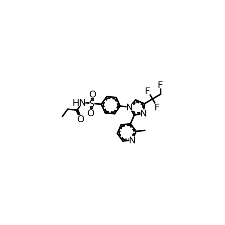 CCC(=O)NS(=O)(=O)c1ccc(-n2cc(C(F)(F)CF)nc2-c2cccnc2C)cc1